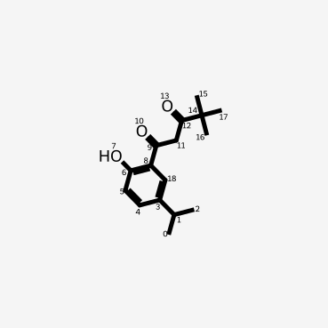 CC(C)c1ccc(O)c(C(=O)CC(=O)C(C)(C)C)c1